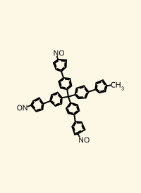 Cc1ccc(-c2ccc(C(c3ccc(-c4ccc(N=O)cc4)cc3)(c3ccc(-c4ccc(N=O)cc4)cc3)c3ccc(-c4ccc(N=O)cc4)cc3)cc2)cc1